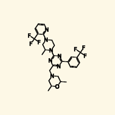 CC1CN(Cc2nc(-c3cccc(C(F)(F)F)c3)nc(N3CCN(c4ncccc4C(F)(F)F)CC3C)n2)CC(C)O1